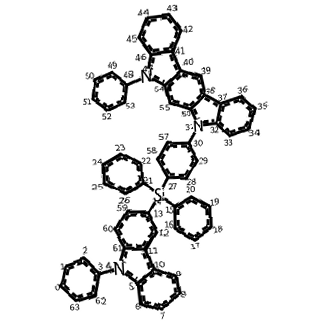 c1ccc(-n2c3ccccc3c3cc([Si](c4ccccc4)(c4ccccc4)c4ccc(-n5c6ccccc6c6cc7c8ccccc8n(-c8ccccc8)c7cc65)cc4)ccc32)cc1